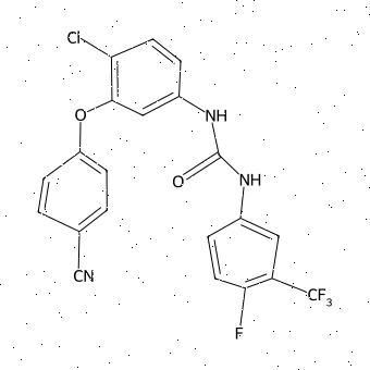 N#Cc1ccc(Oc2cc(NC(=O)Nc3ccc(F)c(C(F)(F)F)c3)ccc2Cl)cc1